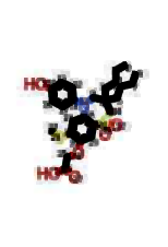 CCCCC1(CCCC)CN(c2ccc(O)cc2)c2cc(SC)c(OCC(=O)O)cc2S(=O)(=O)C1